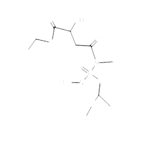 CCOC(=O)C(C)CC(=O)N(C)P(=O)(NC)SC(C)CC